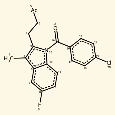 CC(=O)CCc1c(C)c2cc(F)ccc2n1C(=O)c1ccc(Cl)cc1